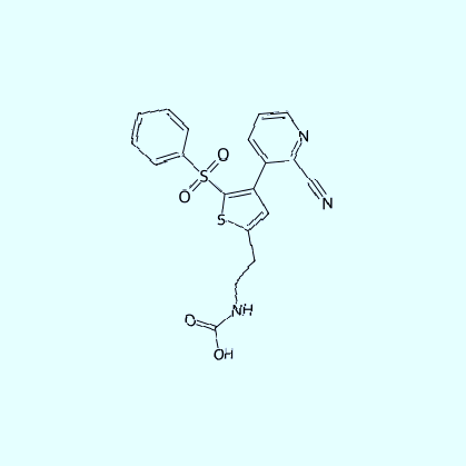 N#Cc1ncccc1-c1cc(CCNC(=O)O)sc1S(=O)(=O)c1ccccc1